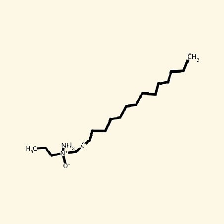 CCCCCCCCCCCCCCCC[N+](N)([O-])CCC